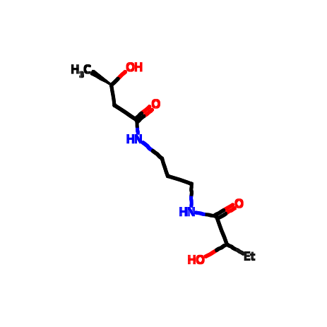 CCC(O)C(=O)NCCCNC(=O)C[C@@H](C)O